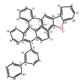 c1ccc(-c2cccc(-c3c4ccccc4c(-c4ccccc4-c4ccc5oc6ccccc6c5c4)c4ccccc34)c2)cc1